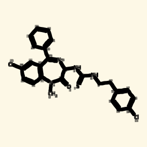 CN1C(=O)C(NC(=S)NCCc2ccc(Cl)cc2)N=C(c2ccccc2)c2cc(Cl)ccc21